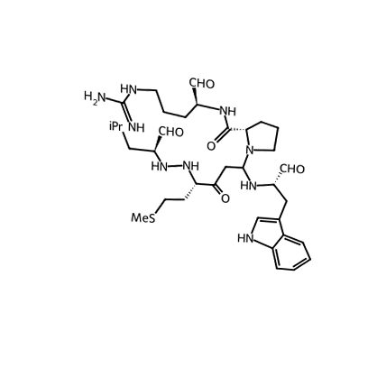 CSCC[C@H](NN[C@H](C=O)CC(C)C)C(=O)CC(N[C@H](C=O)Cc1c[nH]c2ccccc12)N1CCC[C@H]1C(=O)N[C@H](C=O)CCCNC(=N)N